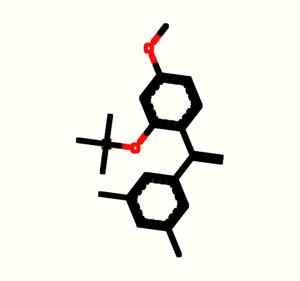 C=C(c1cc(C)cc(C)c1)c1ccc(OC)cc1O[Si](C)(C)C